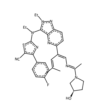 CCN(c1nc(-c2ccc(F)cc2)c(C#N)s1)c1c2nc(/C(C=C(C)C)=C/N=C(\C)N3CC[C@@H](O)C3)ccc2nn1CC